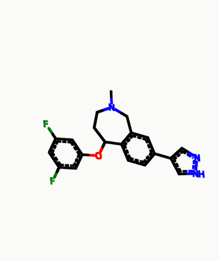 CN1CCC(Oc2cc(F)cc(F)c2)c2ccc(-c3cn[nH]c3)cc2C1